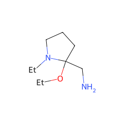 CCOC1(CN)CCCN1CC